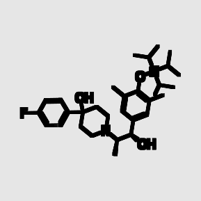 Cc1cc([C@@H](O)[C@@H](C)N2CCC(O)(c3ccc(F)cc3)CC2)cc(C)c1O[Si](C(C)C)(C(C)C)C(C)C